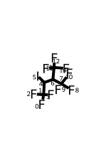 FC(F)(F)C(I)C(C(F)(F)F)C(F)(F)F